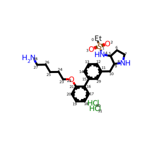 CCS(=O)(=O)NC1CCNC1Cc1cccc(-c2ccccc2OCCCCCN)c1.Cl.Cl